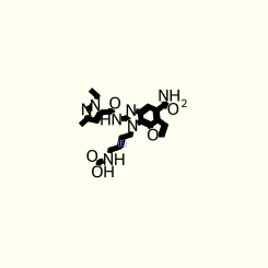 CCn1nc(C)cc1C(=O)Nc1nc2cc(C(N)=O)c3ccoc3c2n1C/C=C/CNC(=O)O